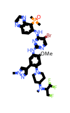 COc1cc(N2CCC(N(C)C(CF)C(F)F)CC2)c(-c2cnn(C)c2)cc1Nc1ncc(Br)c(Nc2ccc3nccnc3c2P(C)(C)=O)n1